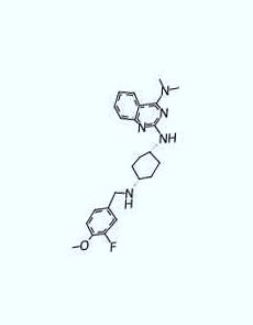 COc1ccc(CN[C@H]2CC[C@@H](Nc3nc(N(C)C)c4ccccc4n3)CC2)cc1F